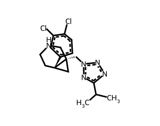 CC(C)c1nnn(C[C@@]23CNCC[C@@]2(c2ccc(Cl)c(Cl)c2)C3)n1